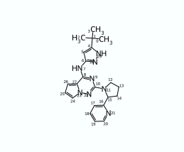 CC(C)(C)c1cc(Nc2nc(N3CCCC3c3ccccn3)nn3cccc23)n[nH]1